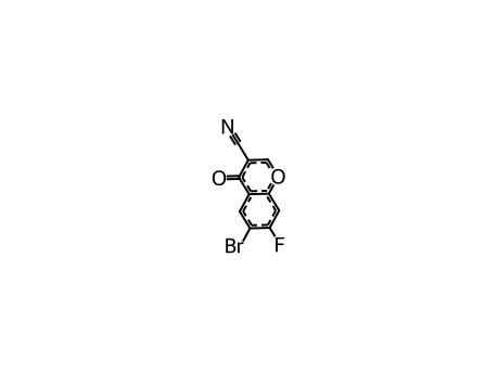 N#Cc1coc2cc(F)c(Br)cc2c1=O